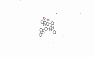 c1ccc(C2=NC(c3ccccc3-c3ccc4c(c3)C3(c5ccccc5O4)c4ccccc4-c4ccccc43)CC(c3ccc(-c4cccc5c4oc4ccccc45)cc3)=N2)cc1